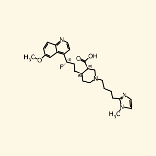 COc1ccc2nccc([C@@H](F)CC[C@@H]3CCN(CCCCc4nccn4C)C[C@@H]3C(=O)O)c2c1